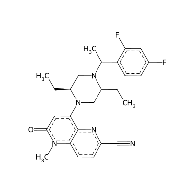 CCC1CN(c2cc(=O)n(C)c3ccc(C#N)nc23)[C@@H](CC)CN1C(C)c1ccc(F)cc1F